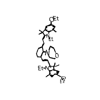 CCOc1cc(C)c2c(c1)C(C)(C)C(/C=C/C1=C(N3CCOCC3)C(=C/C=C3\N(CC)c4c(C)cc(OCC)cc4C3(C)C)/CCC1)=[N+]2CC